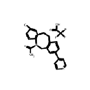 CC(=O)N1Cc2cc(-c3ccncc3)ccc2CCc2cc(Cl)ccc21.O=C(O)C(F)(F)F